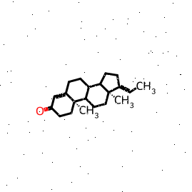 CC=C1CCC2C3CCC4=CC(=O)CC[C@]4(C)C3CC[C@]12C